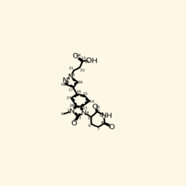 Cn1c(=O)n(C2CCC(=O)NC2=O)c2ccc(-c3cnn(CCC(=O)O)c3)cc21